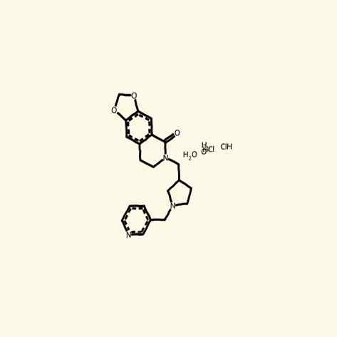 Cl.Cl.O.O.O=C1c2cc3c(cc2CCN1CC1CCN(Cc2cccnc2)C1)OCO3